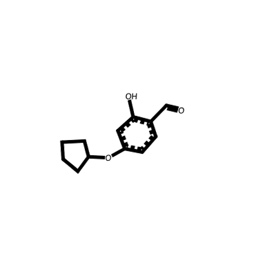 O=Cc1ccc(OC2CCCC2)cc1O